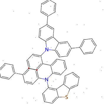 c1ccc(-c2ccc(N(c3ccccc3-c3ccccc3-n3c4ccc(-c5ccccc5)cc4c4cc(-c5ccccc5)ccc43)c3cccc4sc5ccccc5c34)cc2)cc1